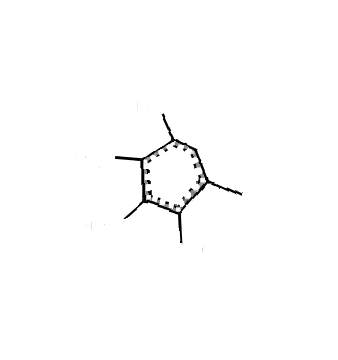 O=C(O)c1cc(O)c(C(=O)O)c(C(=O)O)c1C(=O)O